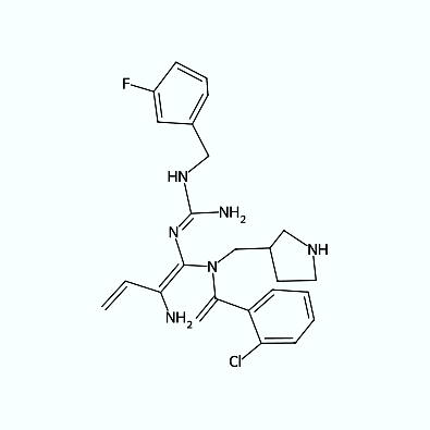 C=C/C(N)=C(\N=C(/N)NCc1cccc(F)c1)N(CC1CCNC1)C(=C)c1ccccc1Cl